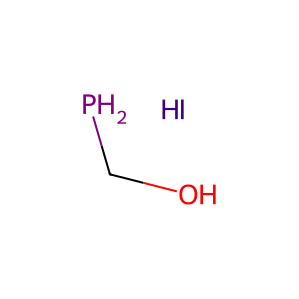 I.OCP